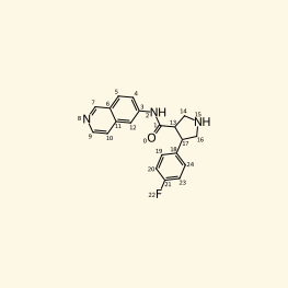 O=C(Nc1ccc2cnccc2c1)C1CNCC1c1ccc(F)cc1